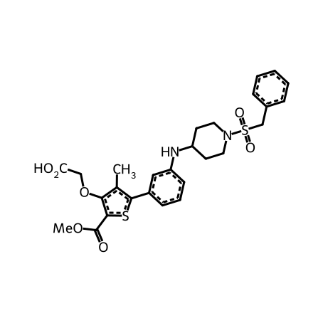 COC(=O)c1sc(-c2cccc(NC3CCN(S(=O)(=O)Cc4ccccc4)CC3)c2)c(C)c1OCC(=O)O